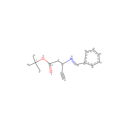 C#CC(CC(=O)OC(C)(C)C)N=Cc1ccccc1